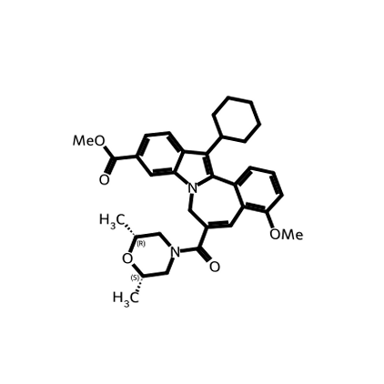 COC(=O)c1ccc2c(C3CCCCC3)c3n(c2c1)CC(C(=O)N1C[C@@H](C)O[C@@H](C)C1)=Cc1c(OC)cccc1-3